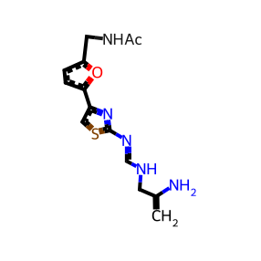 C=C(N)CNC=Nc1nc(-c2ccc(CNC(C)=O)o2)cs1